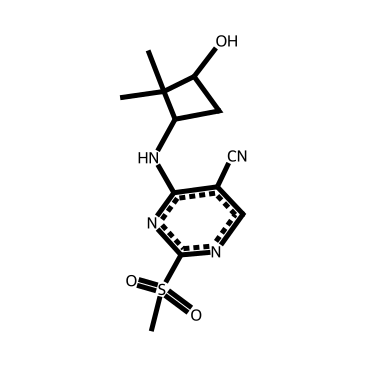 CC1(C)C(O)CC1Nc1nc(S(C)(=O)=O)ncc1C#N